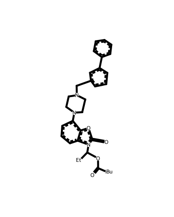 CCC(C)C(=O)OC(CC)n1c(=O)oc2c(N3CCN(Cc4cccc(-c5ccccc5)c4)CC3)cccc21